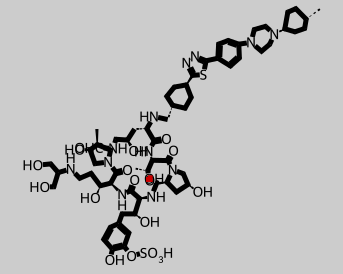 C[C@@H](O)[C@H](NC(=O)[C@H](C[C@@H](O)CNC=O)NC[C@H]1CC[C@H](c2nnc(-c3ccc(N4CCN([C@H]5CC[C@@H](C)CC5)CC4)cc3)s2)CC1)C(=O)N1C[C@H](O)C[C@H]1C(=O)N[C@H](C(=O)N[C@H](C(=O)N1C[C@@H](O)[C@@H](C)C1)[C@H](O)CCNC(CO)CO)[C@H](O)Cc1ccc(O)c(OS(=O)(=O)O)c1